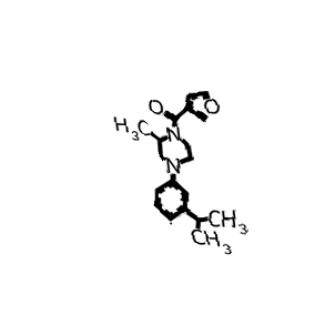 CC(C)c1[c]ccc(N2CCN(C(=O)c3ccoc3)C(C)C2)c1